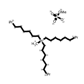 CC(C)CCCCCC[N+](C)(CCCCCCC(C)C)CCCCCCC(C)C.COS(=O)(=O)[O-]